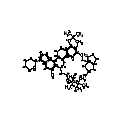 CC(C)(C)Oc1nc(OC[C@@]23CCCN2C[C@H](F)C3)nc2c1=CCN(c1c(CCCO[Si](C)(C)C(C)(C)C)c(Cl)cc3c1cnn3C1CCCCO1)C=2F